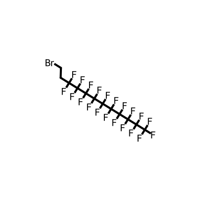 FC(F)(F)C(F)(F)C(F)(F)C(F)(F)C(F)(F)C(F)(F)C(F)(F)C(F)(F)C(F)(F)C(F)(F)CCBr